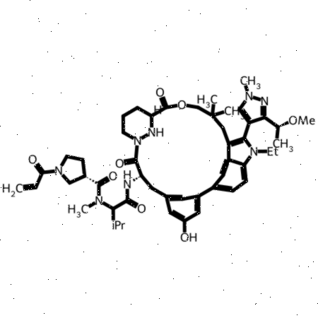 C=CC(=O)N1CC[C@H](C(=O)N(C)C(C(=O)N[C@H]2Cc3cc(O)cc(c3)-c3ccc4c(c3)c(c(-c3cn(C)nc3[C@H](C)OC)n4CC)CC(C)(C)COC(=O)[C@@H]3CCCN(N3)C2=O)C(C)C)C1